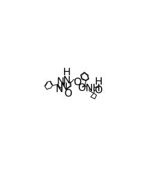 O=C(NCC1(CO)CCC1)c1ccccc1OCc1cc(=O)n2nc(C3=CC=CCC3)nc2[nH]1